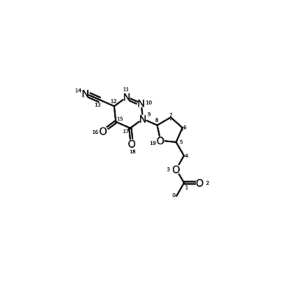 CC(=O)OCC1[CH][CH]C(N2N=NC(C#N)C(=O)C2=O)O1